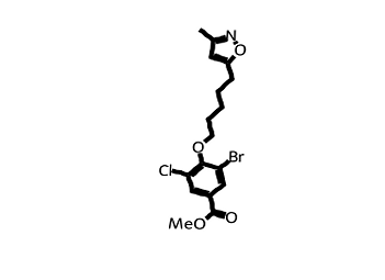 COC(=O)c1cc(Cl)c(OCCCCCc2cc(C)no2)c(Br)c1